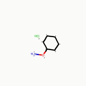 Cl.NOC1CCCCC1